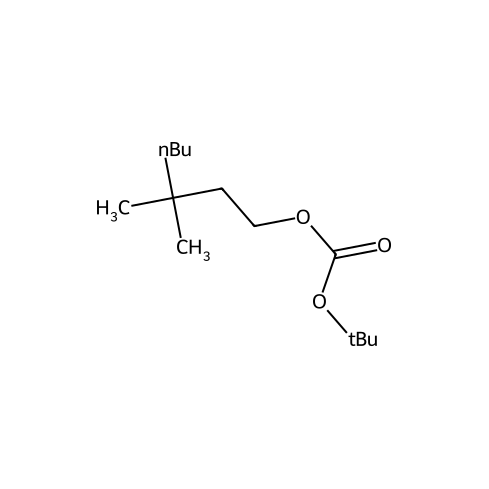 CCCCC(C)(C)CCOC(=O)OC(C)(C)C